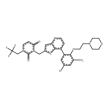 Cc1cc(Cl)cc(-c2ccnc3cc(Cn4c(=O)ccn(CC(F)(F)F)c4=O)sc23)c1OCCN1CCOCC1